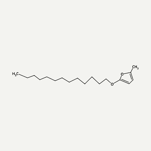 CCCCCCCCCCCCCOc1ccc(C)o1